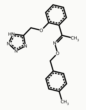 C/C(=N\OCc1ccc(C)cc1)c1ccccc1OCc1nnn[nH]1